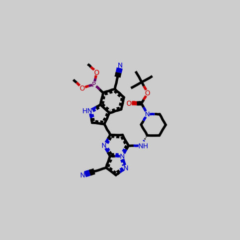 COP(OC)c1c(C#N)ccc2c(-c3cc(N[C@H]4CCCN(C(=O)OC(C)(C)C)C4)n4ncc(C#N)c4n3)c[nH]c12